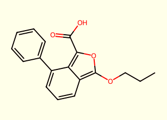 CCCOc1oc(C(=O)O)c2c(-c3ccccc3)cccc12